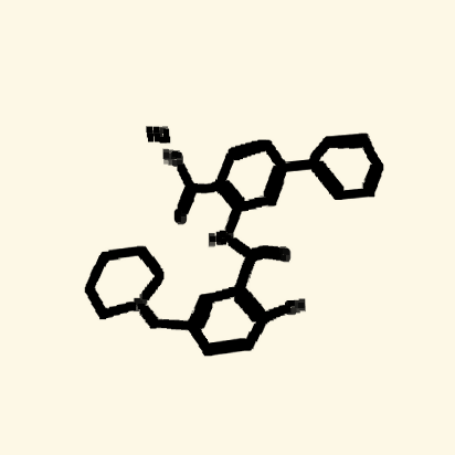 Cl.O=C(Nc1cc(-c2ccccc2)ccc1C(=O)O)c1cc(CN2CCCCC2)ccc1O